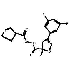 CC1(C(=O)NOC(=O)C2CCOC2)CC(c2cc(F)cc(F)c2)=NO1